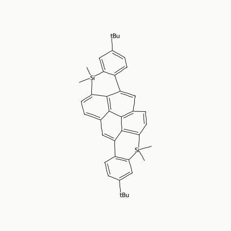 CC(C)(C)c1ccc2c(c1)[Si](C)(C)c1ccc3cc4c5c(ccc6cc-2c1c3c65)[Si](C)(C)c1cc(C(C)(C)C)ccc1-4